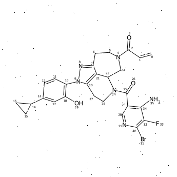 C=CC(=O)N1CCc2nn(-c3ccc(C4CC4)cc3O)c3c2C(C1)N(C(=O)c1cnc(Br)c(F)c1N)CC3